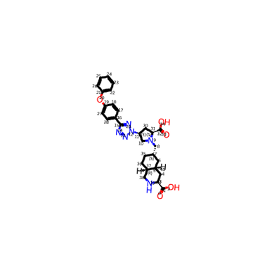 O=C(O)[C@@H]1C[C@H]2C[C@@H](CN3C[C@@H](n4nnc(-c5ccc(Oc6ccccc6)cc5)n4)C[C@H]3C(=O)O)CC[C@H]2CN1